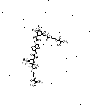 C=C(C)C(=O)OCCOC(=O)NCC1(C)CC(NC(=O)OC2COC3C(OC(=O)NC4CC(C)(C)CC(C)(NC(=O)OCCOC(=O)C(=C)C)C4)COC23)CC(C)(C)C1